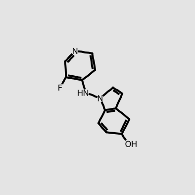 Oc1ccc2c(ccn2Nc2ccncc2F)c1